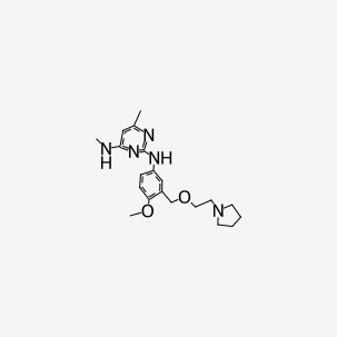 CNc1cc(C)nc(Nc2ccc(OC)c(COCCN3CCCC3)c2)n1